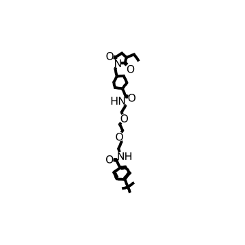 CCC1CC(=O)N(CC2CCC(C(=O)NCCOCCOCCNC(=O)c3ccc(C(C)(C)C)cc3)CC2)C1=O